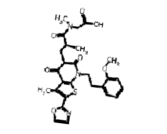 COc1ccccc1CCN1C(=O)C(CC(C)C(=O)N(C)CC(=O)O)C(=O)c2c1sc(-c1ncco1)c2C